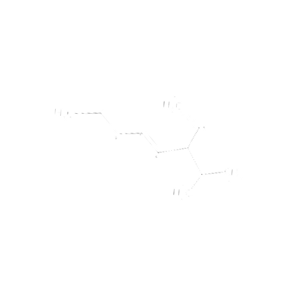 [CH2]C(C)C(C=C)C=CCCC